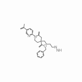 C=C(C)c1ccc(N2CCC(CCCCN=N)(C(=C)OCc3ccccc3)CC2=C)nc1